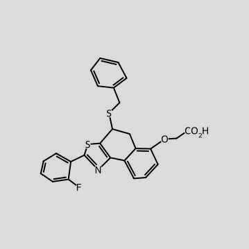 O=C(O)COc1cccc2c1CC(SCc1ccccc1)c1sc(-c3ccccc3F)nc1-2